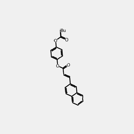 CCC(C)C(=O)Oc1ccc(OC(=O)/C=C/c2ccc3ccccc3c2)cc1